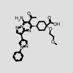 COCCO[C@]1(C(=O)O)CC[C@@H](c2nc3c(-c4cnn(-c5ccccc5)c4)cnn3c(N)c2C(C)=O)CC1